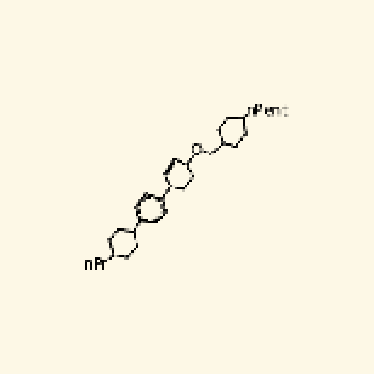 CCCCCC1CCC(COC2C=CC(c3ccc(C4CCC(CCC)CC4)cc3)CC2)CC1